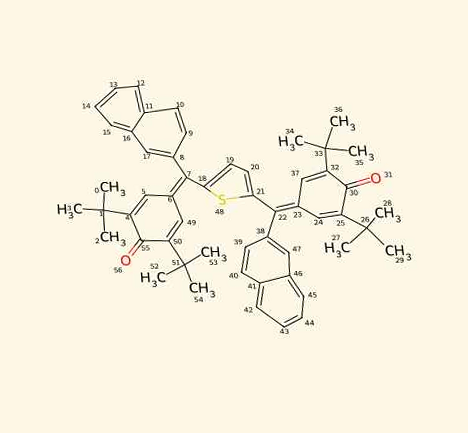 CC(C)(C)C1=CC(=C(c2ccc3ccccc3c2)c2ccc(C(=C3C=C(C(C)(C)C)C(=O)C(C(C)(C)C)=C3)c3ccc4ccccc4c3)s2)C=C(C(C)(C)C)C1=O